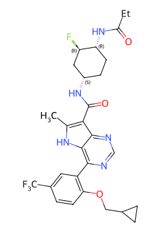 CCC(=O)N[C@@H]1CC[C@H](NC(=O)c2c(C)[nH]c3c(-c4cc(C(F)(F)F)ccc4OCC4CC4)ncnc23)C[C@H]1F